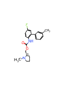 Cc1cccc(-c2cc(F)ccc2NC(=O)OC[C@H]2CCCN2C)c1